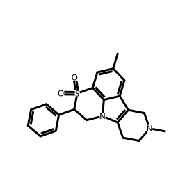 Cc1cc2c3c(c1)c1c(n3CC(c3ccccc3)S2(=O)=O)CCN(C)C1